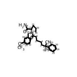 CC(C)[C@@](C#N)(CCCCC(=O)[N@@+]1(Cc2cccc(OC(F)(F)F)c2)CCCC1C(N)=O)c1ccccc1